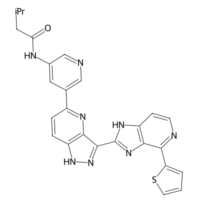 CC(C)CC(=O)Nc1cncc(-c2ccc3[nH]nc(-c4nc5c(-c6cccs6)nccc5[nH]4)c3n2)c1